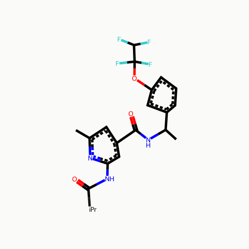 Cc1cc(C(=O)NC(C)c2cccc(OC(F)(F)C(F)F)c2)cc(NC(=O)C(C)C)n1